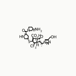 C[C@H]([C@H]1C(=O)N2C(C(=O)O)=C(S[C@@H]3CN[C@H](C(=O)N4CC[C@@H](N)C4)C3)[C@H](C(F)(F)F)[C@H]12)n1cc(CO)nn1